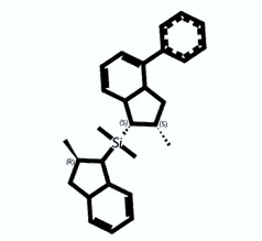 C[C@@H]1CC2C=CC=CC2C1[Si](C)(C)[C@@H]1C2C=CC=C(c3ccccc3)C2C[C@@H]1C